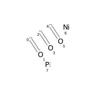 [C]=O.[C]=O.[C]=O.[Ni].[P]